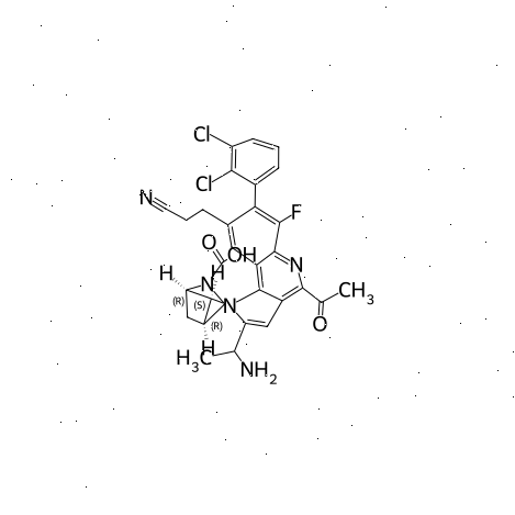 CC(=O)c1nc2c(F)c(-c3cccc(Cl)c3Cl)c(CCC#N)cc2c2c1cc(C(C)N)n2[C@H]1[C@@H]2C[C@H]1N(C(=O)O)C2